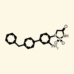 O=C1CN(c2ccc(-c3ccc(Cc4ccccc4)cc3)cc2P)S(=O)(=O)N1